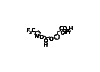 CC(C)OC(Cc1cccc(OCC(O)COc2ccc(C(F)(F)F)cn2)c1)C(=O)O